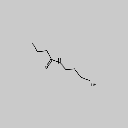 CCCCNC(=O)CCC.[LiH]